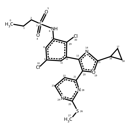 CCCS(=O)(=O)Nc1cc(Cl)cc(-c2nc(C3CC3)oc2-c2ccnc(SC)n2)c1Cl